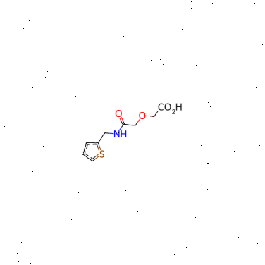 O=C(O)COCC(=O)NCc1cccs1